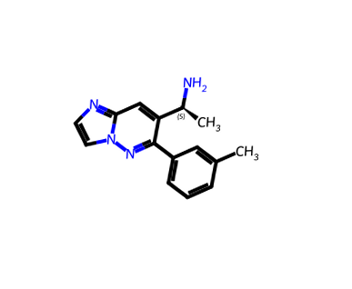 Cc1cccc(-c2nn3ccnc3cc2[C@H](C)N)c1